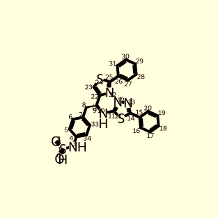 O=[SH](=O)Nc1ccc(C[C@H](Nc2nnc(-c3ccccc3)s2)c2csc(-c3ccccc3)n2)cc1